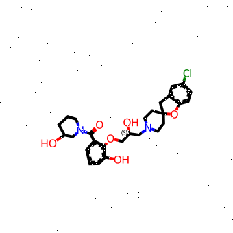 O=C(c1cccc(O)c1OC[C@@H](O)CN1CCC2(CC1)Cc1cc(Cl)ccc1O2)N1CCCC(O)C1